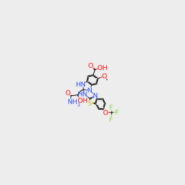 COc1cc2c(cc1C(=O)O)NC(CC(O)C(N)=O)(Nc1nc3ccc(OC(F)(F)F)cc3s1)N2C